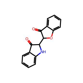 O=C1c2ccccc2NC1C1Oc2ccccc2C1=O